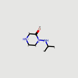 CC(C)NN1CCNCC1=O